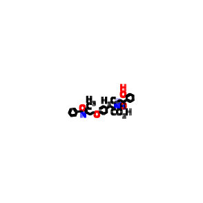 C/C(=C/C(=O)c1ccccc1O)NC(Cc1ccc(OCCc2nc(-c3ccccc3)oc2C)cc1)C(=O)O